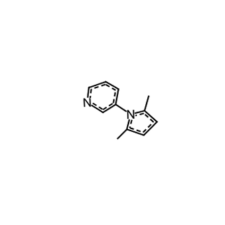 Cc1ccc(C)n1-c1cccnc1